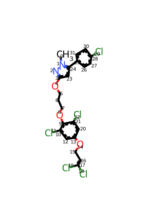 Cn1nc(OCCCOc2c(Cl)cc(OCC=C(Cl)Cl)cc2Cl)cc1-c1ccc(Cl)cc1